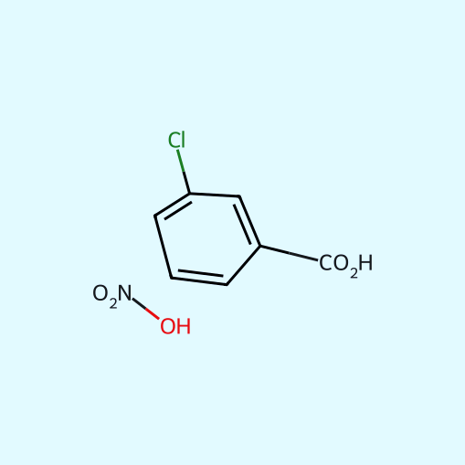 O=C(O)c1cccc(Cl)c1.O=[N+]([O-])O